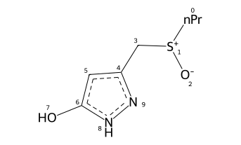 CCC[S+]([O-])Cc1cc(O)[nH]n1